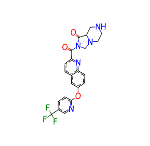 O=C(c1ccc2cc(Oc3ccc(C(F)(F)F)cn3)ccc2n1)N1CN2CCNCC2C1=O